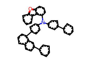 c1ccc(-c2ccc(N(c3ccc(-c4cccc5ccc(-c6ccccc6)cc45)cc3)c3cccc4oc5ccccc5c34)cc2)cc1